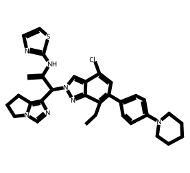 C=C(Nc1nccs1)C(c1ncn2c1CCC2)n1cc2c(Cl)cc(-c3ccc(N4CCCCC4)cc3)c(CC)c2n1